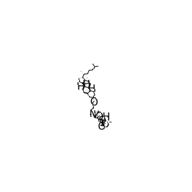 CC(C)CCC[C@@H](C)[C@H]1CC[C@H]2[C@@H]3CC=C4C[C@@H](OCCC[N+](C)(C)CC(O)CS(=O)(=O)[O-])CC[C@]4(C)[C@H]3CC[C@]12C